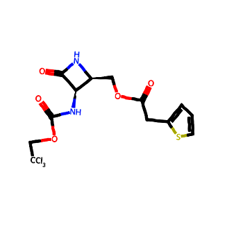 O=C(Cc1cccs1)OC[C@@H]1NC(=O)[C@@H]1NC(=O)OCC(Cl)(Cl)Cl